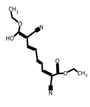 CCOC(=O)C(C#N)=CC=CC=C/C(C#N)=C(\O)OCC